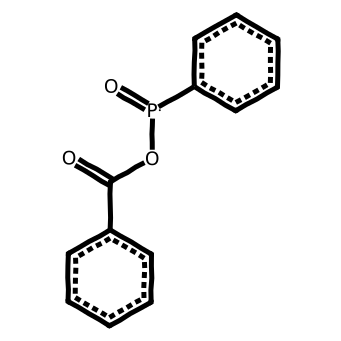 O=C(O[P](=O)c1ccccc1)c1ccccc1